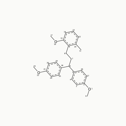 COc1ccc(C(CCc2c(C)c[c]cc2OC)c2ccc(OC)cc2)cc1